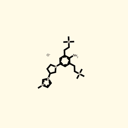 C[n+]1ccn(C2CCN(c3cc(CC[Si](C)(C)C)c(N)c(CC[Si](C)(C)C)c3)C2)c1.[Cl-]